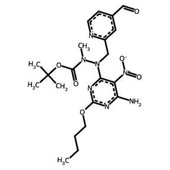 CCCCOc1nc(N)c([N+](=O)[O-])c(N(Cc2cc(C=O)ccn2)N(C)C(=O)OC(C)(C)C)n1